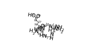 NC[C@]1(N)CNCCNC[C@@](CN)(NC(=O)CCCC(=O)O)NCCN1